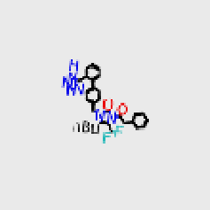 CCCCc1c(C(F)F)n(C(=O)Cc2ccccc2)c(=O)n1Cc1ccc(-c2ccccc2-c2nnn[nH]2)cc1